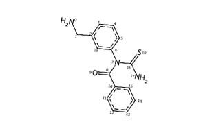 NCc1cccc(N(C(=O)c2ccccc2)C(N)=S)c1